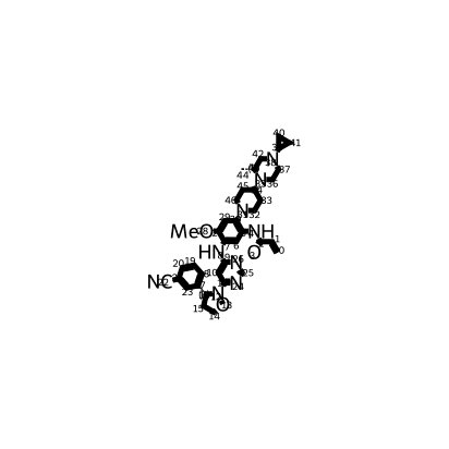 C=CC(=O)Nc1cc(Nc2cc(N3OCC[C@@H]3c3cccc(C#N)c3)ncn2)c(OC)cc1N1CCC(N2CCN(C3CC3)C[C@H]2C)CC1